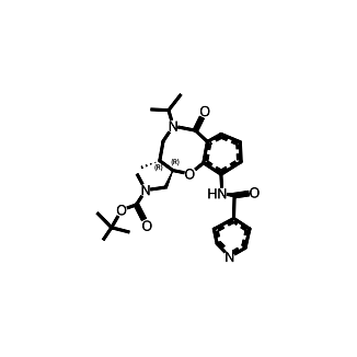 CC(C)N1C[C@@H](C)[C@H](CN(C)C(=O)OC(C)(C)C)Oc2c(NC(=O)c3ccncc3)cccc2C1=O